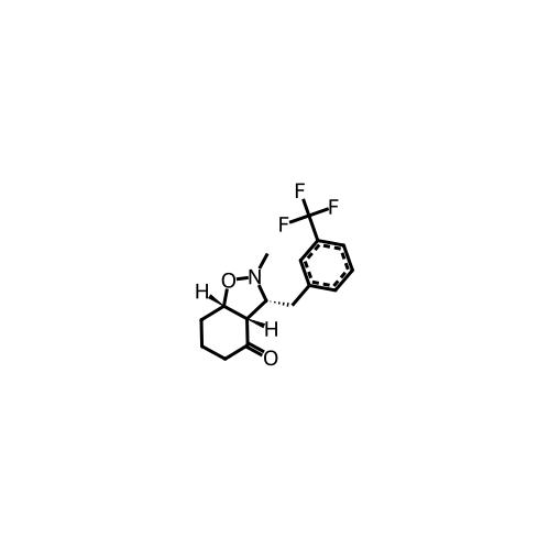 CN1O[C@H]2CCCC(=O)[C@H]2[C@H]1Cc1cccc(C(F)(F)F)c1